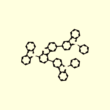 c1ccc(-n2c3ccccc3c3cc(-c4ccc5oc6c(-n7c8ccccc8c8ccccc87)ccc(-c7ccc8c(c7)c7ccccc7n8-c7ccccc7)c6c5c4)ccc32)cc1